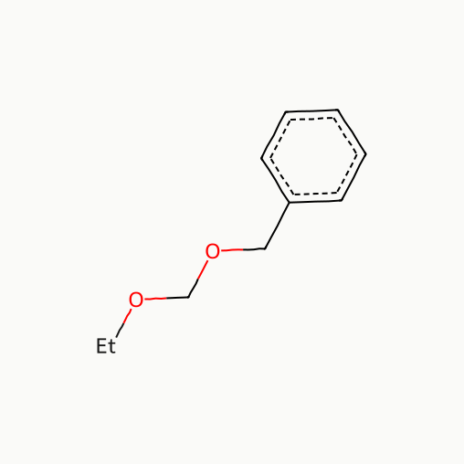 [CH2]COCOCc1ccccc1